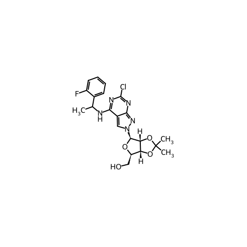 CC(Nc1nc(Cl)nc2nn([C@@H]3O[C@H](CO)[C@H]4OC(C)(C)O[C@H]43)cc12)c1ccccc1F